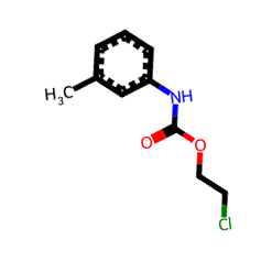 Cc1cccc(NC(=O)OCCCl)c1